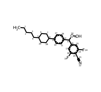 CCCCCC1CCC(c2ccc(C(OO)c3cc(F)c(C#N)c(F)c3)cc2)CC1